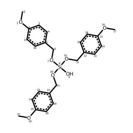 COc1ccc(CO[Si](O)(OCc2ccc(OC)cc2)OCc2ccc(OC)cc2)cc1